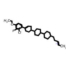 C/C=C/CCC1CCC(C2CCC(C3CC=C(c4ccc(OCC)c(F)c4Cl)CC3)CC2)CC1